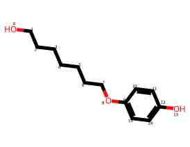 OCCCCCCCOc1ccc(O)cc1